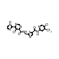 O=C(Nc1cc(C(F)(F)F)c(Cl)cn1)c1cnc(CNC(=O)c2ncnc(-c3ncc[nH]3)c2Cl)s1